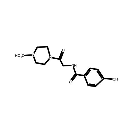 O=C(NCC(=O)N1CCN(C(=O)O)CC1)c1ccc(O)cc1